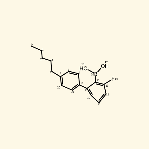 CCCCCc1ccc(-c2cccc(F)c2B(O)O)cc1